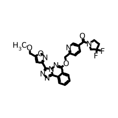 COCc1cc(-c2nnc3c4ccccc4c(OCc4ccc(C(=O)N5CCC(F)(F)C5)cn4)nn23)no1